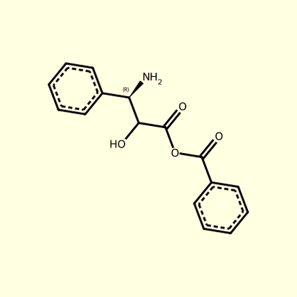 N[C@H](c1ccccc1)C(O)C(=O)OC(=O)c1ccccc1